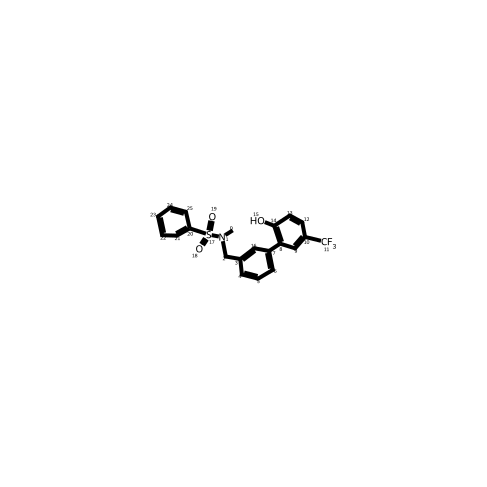 CN(Cc1cccc(-c2cc(C(F)(F)F)ccc2O)c1)S(=O)(=O)c1ccccc1